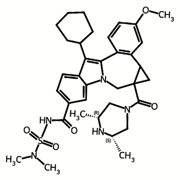 COc1ccc2c(c1)C1CC1(C(=O)N1C[C@@H](C)N[C@@H](C)C1)Cn1c-2c(C2CCCCC2)c2ccc(C(=O)NS(=O)(=O)N(C)C)cc21